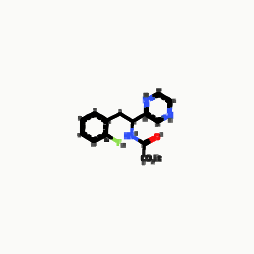 CCOC(=O)C(=O)NC(Cc1ccccc1F)c1cnccn1